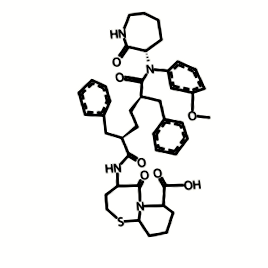 COc1cccc(N(C(=O)[C@H](CC[C@H](Cc2ccccc2)C(=O)NC2CCSC3CCCC(C(=O)O)N3C2=O)Cc2ccccc2)[C@H]2CCCCNC2=O)c1